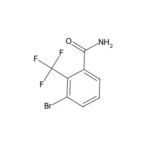 NC(=O)c1cccc(Br)c1C(F)(F)F